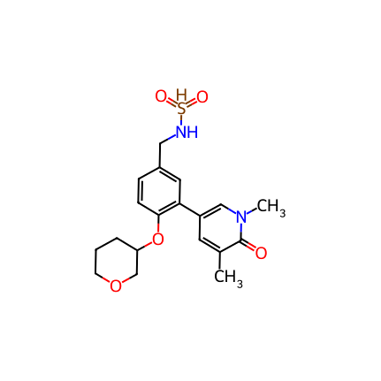 Cc1cc(-c2cc(CN[SH](=O)=O)ccc2OC2CCCOC2)cn(C)c1=O